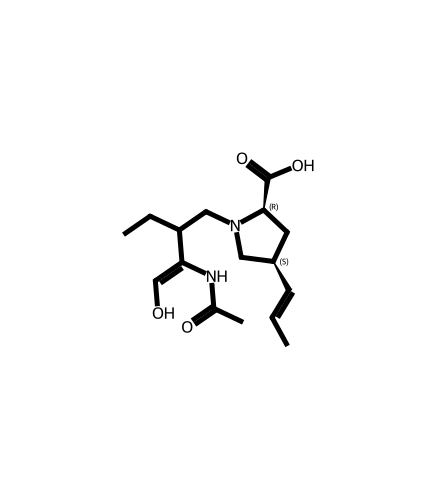 CC=C[C@@H]1C[C@H](C(=O)O)N(CC(CC)C(=CO)NC(C)=O)C1